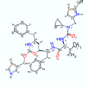 C=C(C)[C@H](NC(=O)N(Cc1csc(C(C)C)n1)C1CC1)C(=O)N[C@H](CC[C@H](Cc1ccccc1)NC(=O)OCc1cncs1)Cc1ccccc1